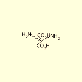 NCCCCCCS(CCCCCCN)(CCC(=O)O)CCC(=O)O